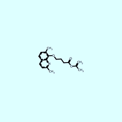 C=C(C)OC(=O)CCCOc1c(C)ccc2ccc(C)nc12